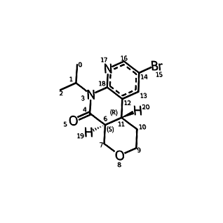 CC(C)N1C(=O)[C@@H]2COCC[C@H]2c2cc(Br)cnc21